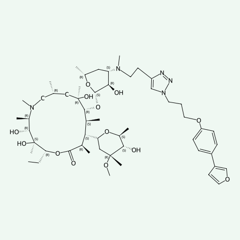 CC[C@H]1OC(=O)[C@H](C)[C@@H](C2C[C@@](C)(OC)[C@@H](O)[C@H](C)O2)[C@H](C)[C@@H](O[C@@H]2O[C@H](C)C[C@H](N(C)CCc3cn(CCCOc4ccc(-c5ccoc5)cc4)nn3)[C@H]2O)[C@](C)(O)C[C@@H](C)CN(C)[C@H](C)[C@@H](O)[C@]1(C)O